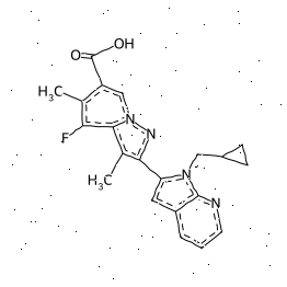 Cc1c(C(=O)O)cn2nc(-c3cc4cccnc4n3CC3CC3)c(C)c2c1F